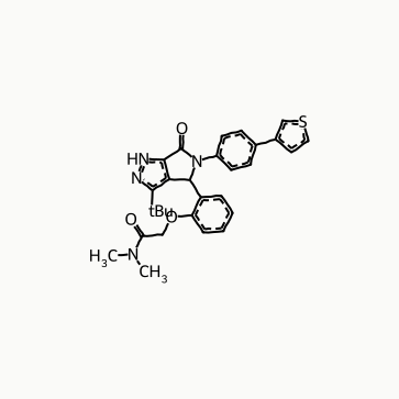 CN(C)C(=O)COc1ccccc1C1c2c(C(C)(C)C)n[nH]c2C(=O)N1c1ccc(-c2ccsc2)cc1